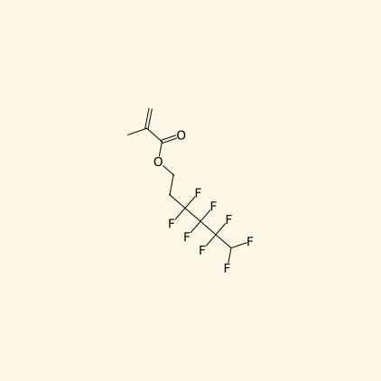 C=C(C)C(=O)OCCC(F)(F)C(F)(F)C(F)(F)C(F)F